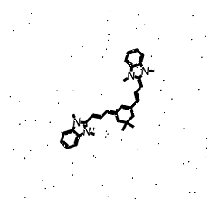 CN1C(=CC=CC2=C/C(=C/C=Cc3n(C)c4ccccc4[n+]3C)CC(C)(C)C2)N(C)c2ccccc21